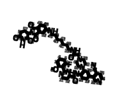 COc1cccc(F)c1-c1nccc(C(=O)Nc2ccc(-c3cnccc3C#N)cc2N2CCN(CC(=O)NCCCCCCCNc3ccc4c(c3)C(=O)N(C3CCC(=O)NC3=O)C4=O)CC2)n1